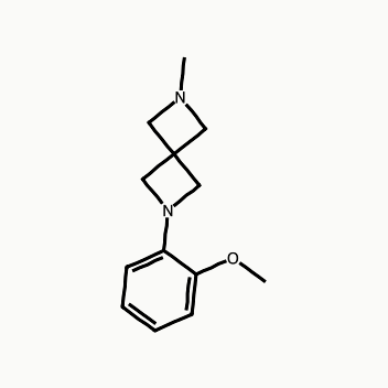 COc1ccccc1N1CC2(CN(C)C2)C1